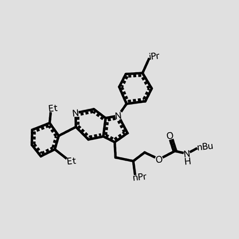 CCCCNC(=O)OCC(CCC)Cc1cn(-c2ccc(C(C)C)cc2)c2cnc(-c3c(CC)cccc3CC)cc12